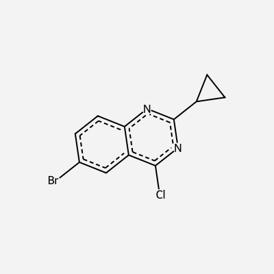 Clc1nc(C2CC2)nc2ccc(Br)cc12